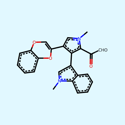 Cn1cc(C2=COc3ccccc3O2)c(-c2cn(C)c3ccccc23)c1C(=O)C=O